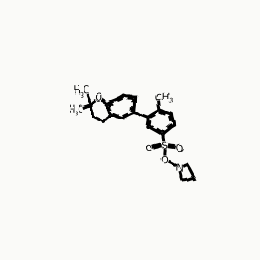 Cc1ccc(S(=O)(=O)ON2CCC2)cc1-c1ccc2c(c1)CCC(C)(C)O2